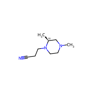 C[C@H]1CN(C)CCN1CCC#N